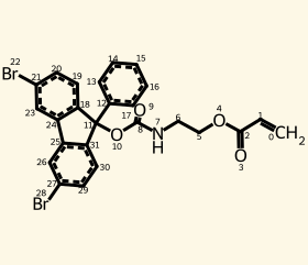 C=CC(=O)OCCNC(=O)OC1(c2ccccc2)c2ccc(Br)cc2-c2cc(Br)ccc21